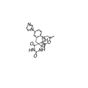 C[C@@H]1CN2c3ccc(-n4ccnc4)cc3CC3(C(=O)NC(=O)NC3=O)[C@H]2[C@H](C)O1